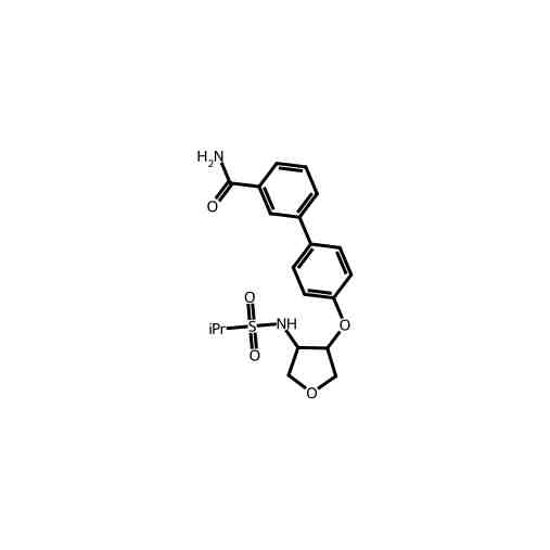 CC(C)S(=O)(=O)NC1COCC1Oc1ccc(-c2cccc(C(N)=O)c2)cc1